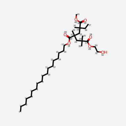 CCCCCCCCCCCCCCCCCCOC(=O)C(C)(CC(C)(C)C(=O)OCCO)CC(C)(CC)C(=O)OC